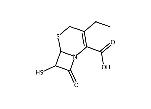 CCC1=C(C(=O)O)N2C(=O)C(S)C2SC1